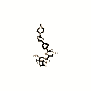 CCC[C@H]1CN(C(=O)C(CC(C)(C)C)NC(=O)c2ccc(-c3csc(N4CCN(C)CC4)n3)cc2)[C@@H]2C(=O)CO[C@H]12